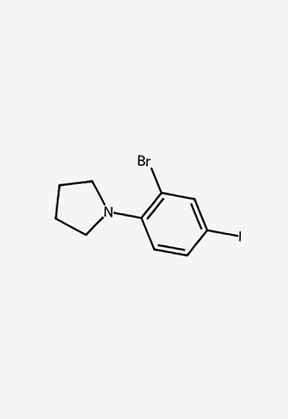 Brc1cc(I)ccc1N1CCCC1